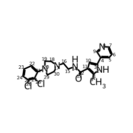 Cc1[nH]c(-c2cccnc2)cc1C(=O)NCCN1CCN(c2cccc(Cl)c2Cl)CC1